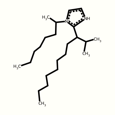 CCCCCCCCC(c1[nH]cc[n+]1C(C)CCCCCC)C(C)C